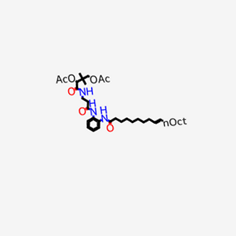 CCCCCCCCC=CCCCCCCCC(=O)Nc1ccccc1NC(=O)CCNC(=O)C(OC(C)=O)C(C)(C)COC(C)=O